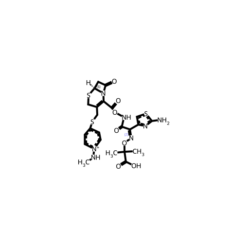 CN[n+]1ccc(SCC2=C(C(=O)ONC(=O)/C(=N\OC(C)(C)C(=O)O)c3csc(N)n3)N3C(=O)C[C@@H]3SC2)cc1